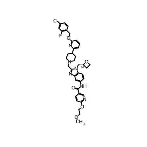 COCCOc1ccc(C(=O)Nc2ccc3c(c2)nc(CN2CCC(c4cccc(OCc5ccc(Cl)cc5F)n4)CC2)n3C[C@@H]2CCO2)cn1